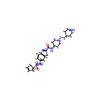 O=C(NC1CCN(CCC2CCNCC2)CC1)c1nc2ccc(NS(=O)(=O)c3cccs3)cc2s1